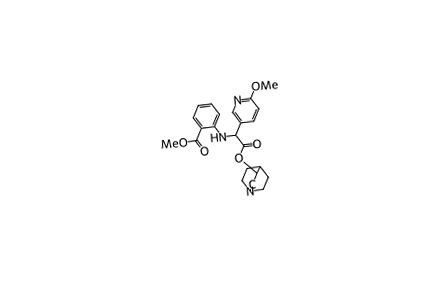 COC(=O)c1ccccc1NC(C(=O)OC1CN2CCC1CC2)c1ccc(OC)nc1